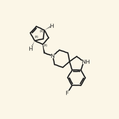 Fc1ccc2c(c1)C1(CCN(C[C@@H]3C[C@@H]4C=C[C@H]3C4)CC1)CN2